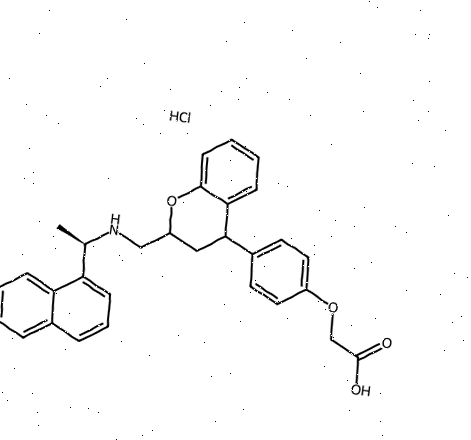 C[C@@H](NCC1CC(c2ccc(OCC(=O)O)cc2)c2ccccc2O1)c1cccc2ccccc12.Cl